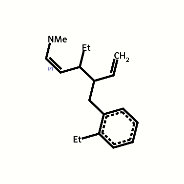 C=CC(Cc1ccccc1CC)C(/C=C\NC)CC